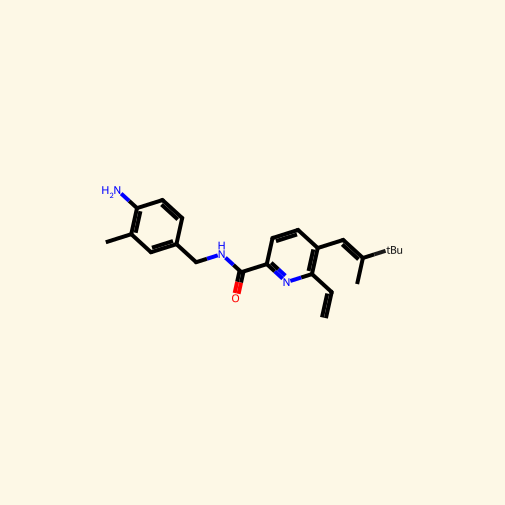 C=Cc1nc(C(=O)NCc2ccc(N)c(C)c2)ccc1/C=C(\C)C(C)(C)C